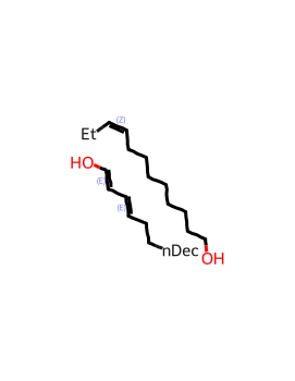 CC/C=C\CCCCCCCCO.CCCCCCCCCCCC/C=C/C=C/O